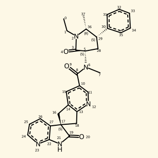 CCN1C(=O)[C@@H](N(C)C(=O)c2cnc3c(c2)C[C@@]2(C3)C(=O)Nc3ncccc32)C[C@@H](c2ccccc2)[C@H]1C